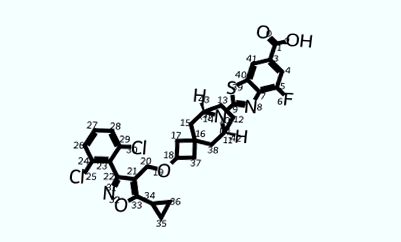 O=C(O)c1cc(F)c2nc(N3[C@@H]4CC[C@H]3CC3(CC(OCc5c(-c6c(Cl)cccc6Cl)noc5C5CC5)C3)C4)sc2c1